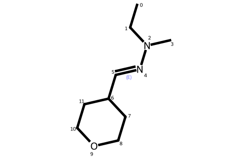 CCN(C)/N=C/C1CCOCC1